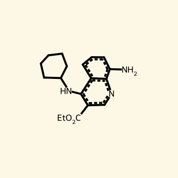 CCOC(=O)c1cnc2c(N)cccc2c1NC1CCCCC1